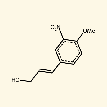 COc1ccc(C=CCO)cc1[N+](=O)[O-]